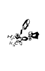 COC(=O)[C@@H]1C[C@@H](S(=O)(=O)c2ccccc2Cl)CN1c1cc(C)nn1CCN1CCOCC1